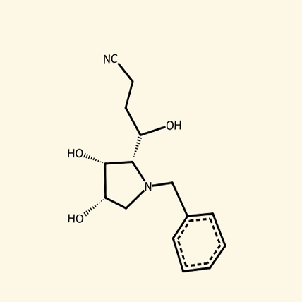 N#CCCC(O)[C@H]1[C@@H](O)[C@@H](O)CN1Cc1ccccc1